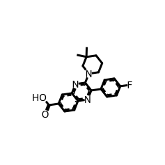 CC1(C)CCCN(c2nc3cc(C(=O)O)ccc3nc2-c2ccc(F)cc2)C1